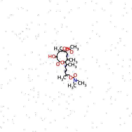 CCN(CC)C(=O)OC[C@H](C)/C=C/C=C(\C)[C@H]1OC(=O)C[C@H](O)CC[C@@](C)(O)[C@@H](OC(C)=O)/C=C/[C@@H]1C